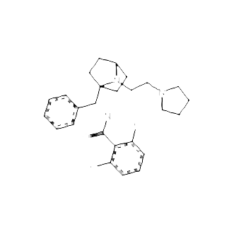 Cc1cccc(C)c1C(=O)N[C@H](c1ccccc1)C12CCC(CC1)N2CCN1CCCC1